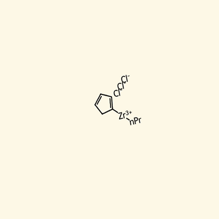 CC[CH2][Zr+3][C]1=CC=CC1.[Cl-].[Cl-].[Cl-]